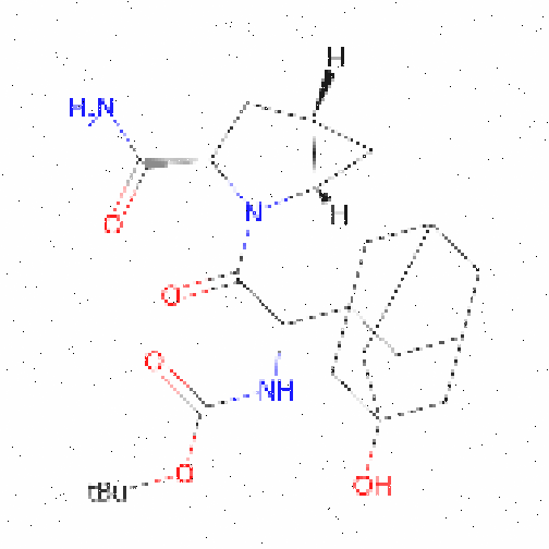 CC(C)(C)OC(=O)N[C@H](C(=O)N1[C@H](C(N)=O)C[C@@H]2C[C@@H]21)C12CC3CC(CC(O)(C3)C1)C2